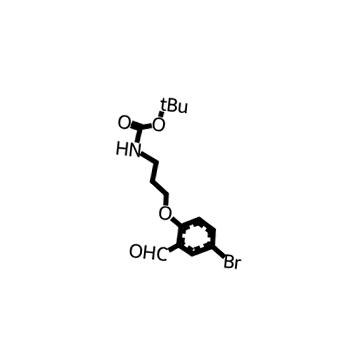 CC(C)(C)OC(=O)NCCCOc1ccc(Br)cc1C=O